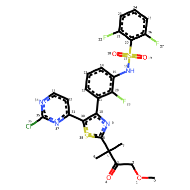 COCC(=O)C(C)(C)c1nc(-c2cccc(NS(=O)(=O)c3c(F)cccc3F)c2F)c(-c2ccnc(Cl)n2)s1